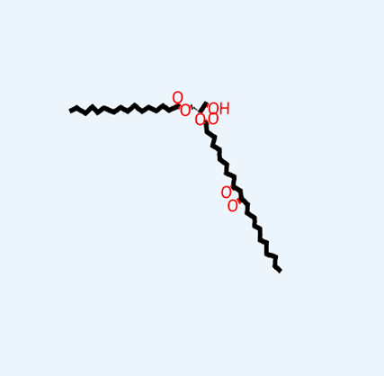 CCCCCCCCCCCCCCCC(=O)OC[C@H](CO)OC(=O)CCCCCCCCC(=O)CC(=O)CCCCCCCCCCC